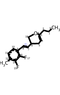 CCCC1=CCC(/C=C/c2ccc(C)c(F)c2F)CO1